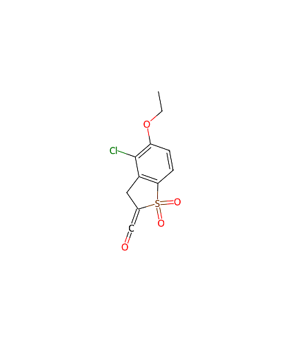 CCOc1ccc2c(c1Cl)CC(=C=O)S2(=O)=O